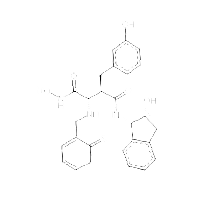 O=C(NO)[C@@H](NCC1=CC=CCC1=S)[C@@H](Cc1cccc(O)c1)C(=O)N[C@H]1c2ccccc2C[C@H]1O